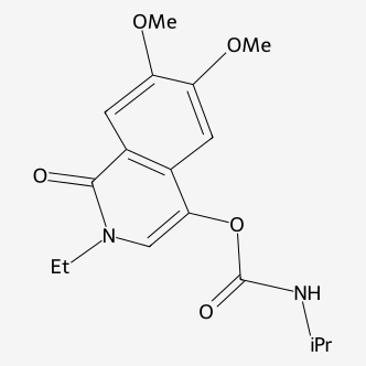 CCn1cc(OC(=O)NC(C)C)c2cc(OC)c(OC)cc2c1=O